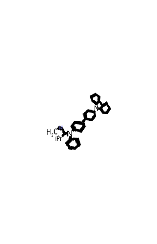 C/C=C\C(C(C)C)N(c1ccccc1)c1ccc(-c2ccc(-n3c4ccccc4c4ccccc43)cc2)cc1